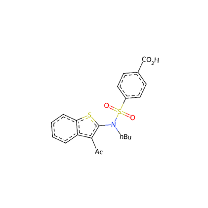 CCCCN(c1sc2ccccc2c1C(C)=O)S(=O)(=O)c1ccc(C(=O)O)cc1